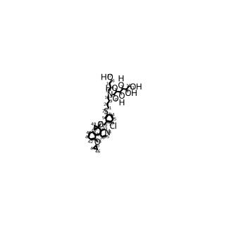 O=C([C@@H](O)[C@@H](O)[C@H](O)[C@@H](O)CO)N(CCCCO)CCCCSc1ccc(Cl)c(COC2(c3cnccc3-c3ccccc3OC3CC3)CC2)c1